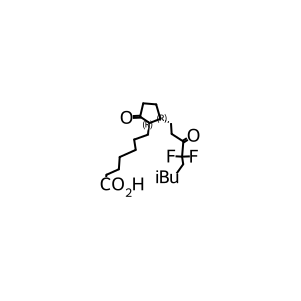 CCC(C)CC(F)(F)C(=O)CC[C@H]1CCC(=O)[C@@H]1CCCCCCC(=O)O